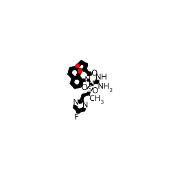 C[C@H](Cc1ncc(F)cn1)S(=O)(=O)N(C(=N)N)N(C(=O)c1ccco1)c1cccc2ccccc12